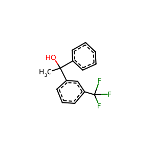 CC(O)(c1ccccc1)c1cccc(C(F)(F)F)c1